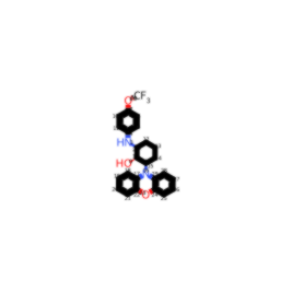 O[C@@H]1[C@@H](Nc2ccc(OC(F)(F)F)cc2)CCC[C@H]1N1c2ccccc2Oc2ccccc21